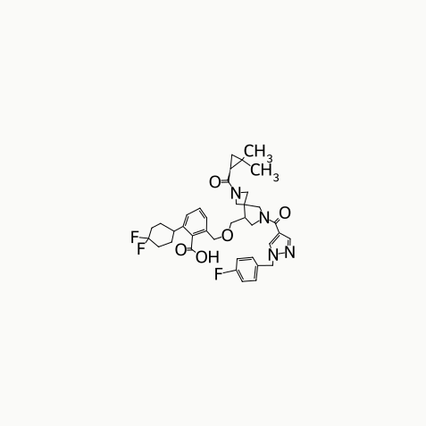 CC1(C)C[C@@H]1C(=O)N1CC2(CN(C(=O)c3cnn(Cc4ccc(F)cc4)c3)CC2COCc2cccc(C3CCC(F)(F)CC3)c2C(=O)O)C1